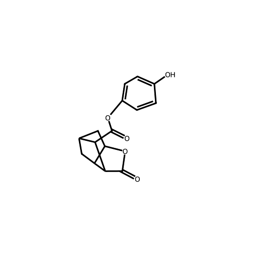 O=C(Oc1ccc(O)cc1)C1C2CC3OC(=O)C1C3C2